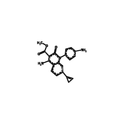 COC(=O)c1c(N)c2ccc(C3=CC3)cc2n(-c2ccc(N)cc2)c1=O